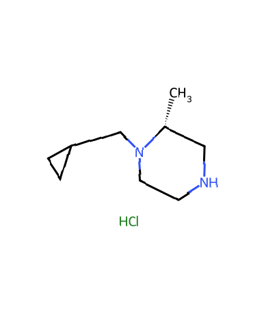 C[C@@H]1CNCCN1CC1CC1.Cl